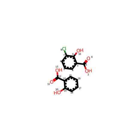 O=C(O)c1cccc(Cl)c1O.O=C(O)c1ccccc1O